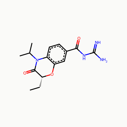 CC[C@H]1Oc2cc(C(=O)NC(=N)N)ccc2N(C(C)C)C1=O